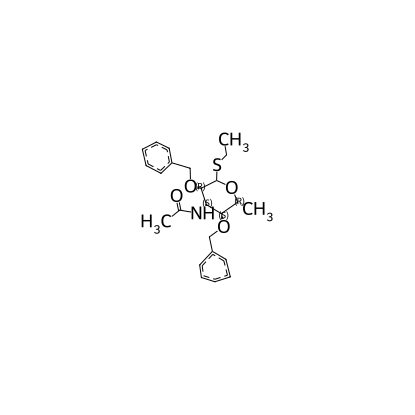 CCSC1O[C@H](C)[C@@H](OCc2ccccc2)[C@H](NC(C)=O)[C@H]1OCc1ccccc1